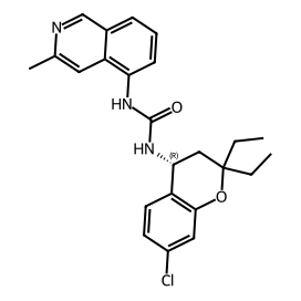 CCC1(CC)C[C@@H](NC(=O)Nc2cccc3cnc(C)cc23)c2ccc(Cl)cc2O1